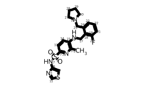 Cc1nc(S(=O)(=O)Nc2cscn2)ccc1NCc1c(F)cccc1CN1CCCC1